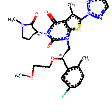 COCCO[C@@H](Cn1c(=O)n([C@@H]2CCN(C)C2=O)c(=O)c2c(C)c(-n3nccn3)sc21)c1cc(F)ccc1C